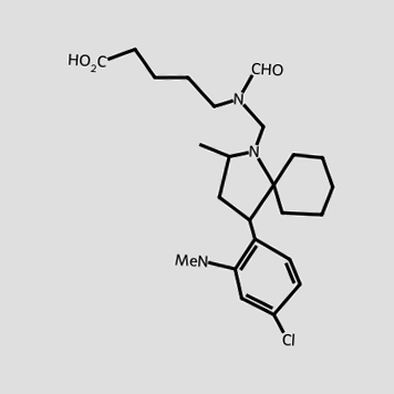 CNc1cc(Cl)ccc1C1CC(C)N(CN(C=O)CCCCC(=O)O)C12CCCCC2